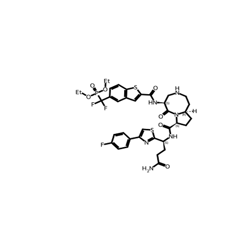 CCOP(=O)(OCC)C(F)(F)c1ccc2sc(C(=O)N[C@H]3CNCC[C@H]4CC[C@@H](C(=O)N[C@@H](CCC(N)=O)c5nc(-c6ccc(F)cc6)cs5)N4C3=O)cc2c1